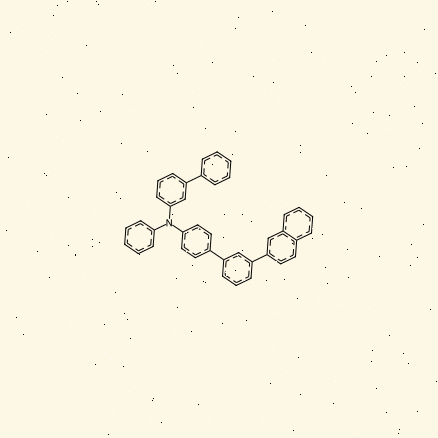 c1ccc(-c2cccc(N(c3ccccc3)c3ccc(-c4cccc(-c5ccc6ccccc6c5)c4)cc3)c2)cc1